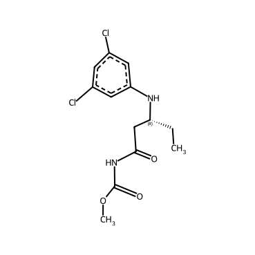 CC[C@H](CC(=O)NC(=O)OC)Nc1cc(Cl)cc(Cl)c1